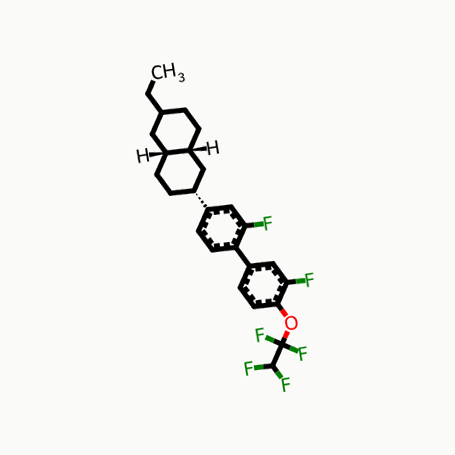 CCC1CC[C@@H]2C[C@H](c3ccc(-c4ccc(OC(F)(F)C(F)F)c(F)c4)c(F)c3)CC[C@@H]2C1